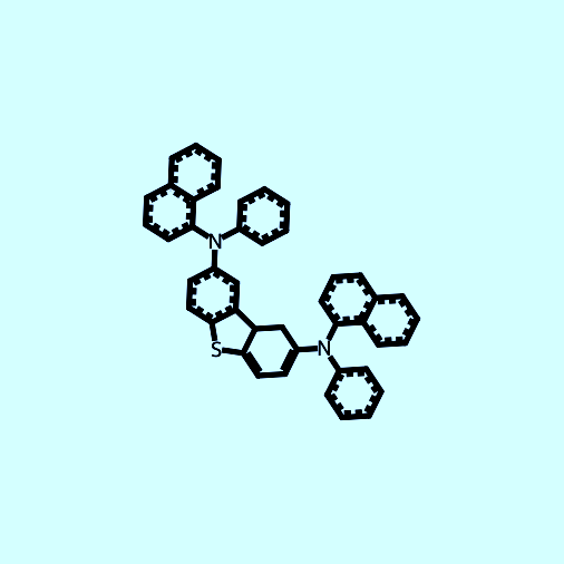 C1=C2Sc3ccc(N(c4ccccc4)c4cccc5ccccc45)cc3C2CC(N(c2ccccc2)c2cccc3ccccc23)=C1